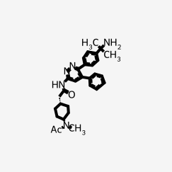 CC(=O)N(C)[C@H]1CC[C@H](CC(=O)Nc2cc(-c3ccccc3)c(-c3ccc(C(C)(C)N)cc3)nn2)CC1